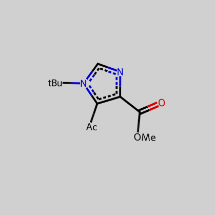 COC(=O)c1ncn(C(C)(C)C)c1C(C)=O